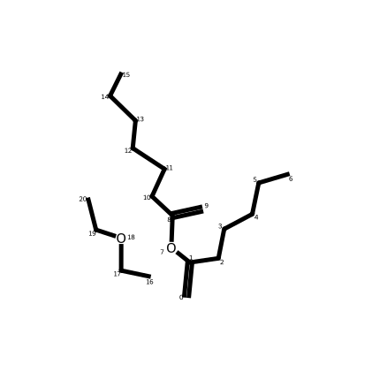 C=C(CCCCC)OC(=C)CCCCCC.CCOCC